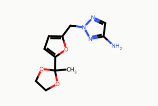 CC1(c2ccc(Cn3ncc(N)n3)o2)OCCO1